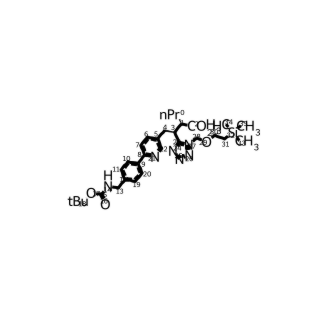 CCC[C@H](C(=O)O)[C@H](Cc1ccc(-c2ccc(CNC(=O)OC(C)(C)C)cc2)nc1)c1nnnn1COCC[Si](C)(C)C